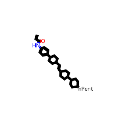 C=CC(=O)Nc1ccc(C2CCC(/C=C/C3CCC(C4CCC(CCCCC)CC4)CC3)CC2)cc1